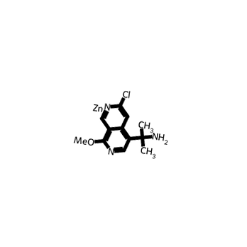 COc1ncc(C(C)(C)N)c2cc(Cl)ncc12.[Zn]